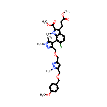 COC(=O)CCc1c(C(=O)OC)n(C)c2c(-c3c(COCc4cc(COCc5ccc(OC)cc5)n(C)n4)nn(C)c3C)c(Cl)ccc12